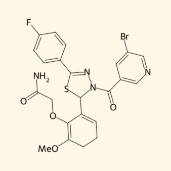 COC1=C(OCC(N)=O)C(C2SC(c3ccc(F)cc3)=NN2C(=O)c2cncc(Br)c2)=CCC1